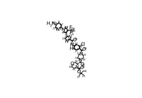 Cn1c(-c2cn(-c3ccc(N)cn3)nc2C(F)(F)F)cnc1C(=O)Nc1ccc(C(=O)N2CCN(C(=O)[C@@H]3COCCN3C(=O)OC(C)(C)C)CC2)c(Cl)c1